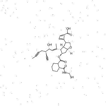 C#C[C@@H](CC#CC)[C@H](O)/C=C(\C)[C@@H]1[C@H]2C(C3=CC=C3C(=O)O)CO[C@H]2C[C@H]1OC(=O)C1CCCCC1C(=O)NCS